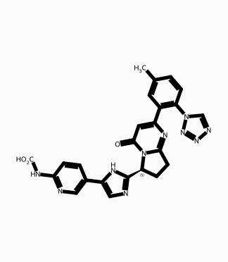 Cc1ccc(-n2cnnn2)c(-c2cc(=O)n3c(n2)CC[C@H]3c2ncc(-c3ccc(NC(=O)O)nc3)[nH]2)c1